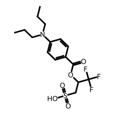 CCCN(CCC)c1ccc(C(=O)OC(CS(=O)(=O)O)C(F)(F)F)cc1